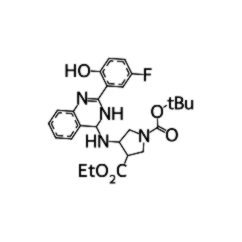 CCOC(=O)C1CN(C(=O)OC(C)(C)C)CC1NC1NC(c2cc(F)ccc2O)=Nc2ccccc21